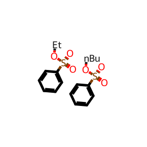 CCCCOS(=O)(=O)c1ccccc1.CCOS(=O)(=O)c1ccccc1